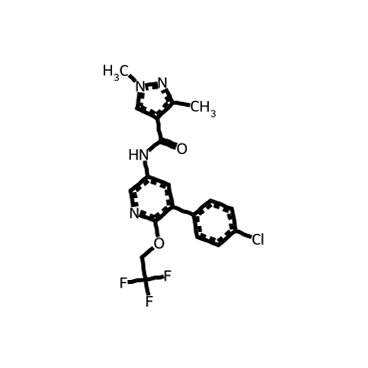 Cc1nn(C)cc1C(=O)Nc1cnc(OCC(F)(F)F)c(-c2ccc(Cl)cc2)c1